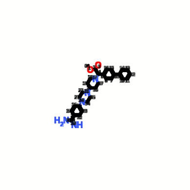 COC(=O)C(c1ccc(-c2ccccc2)cc1)N1CCC(N2CCN(c3ccc(C(=N)N)cc3)CC2)CC1